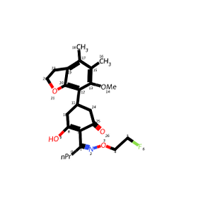 CCC/C(=N/OCCF)C1=C(O)CC(c2c(OC)c(C)c(C)c3c2OCC3)CC1=O